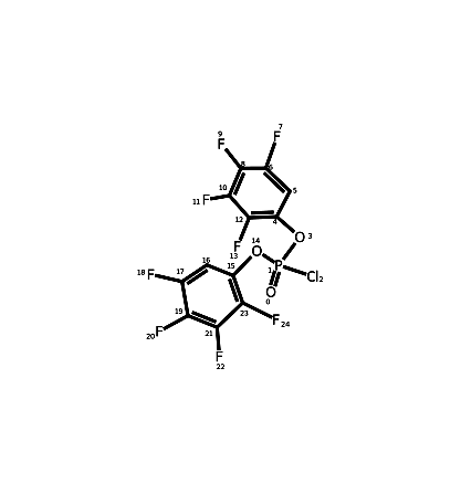 O=P(Cl)(Oc1cc(F)c(F)c(F)c1F)Oc1cc(F)c(F)c(F)c1F